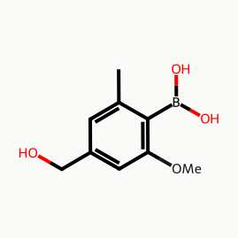 COc1cc(CO)cc(C)c1B(O)O